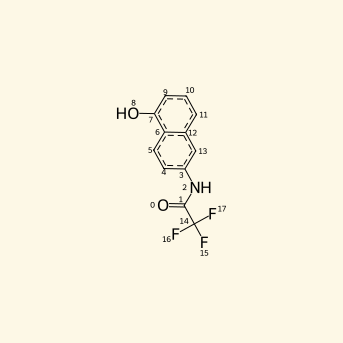 O=C(Nc1ccc2c(O)cccc2c1)C(F)(F)F